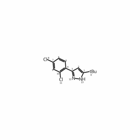 CC(C)(C)c1cc(-c2ccc(Cl)cc2Cl)n[nH]1